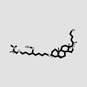 CCCCOC(CCCCO[C@H]1CC[C@@]2(C)C(=CCC3C2CC[C@@]2(C)C3CC[C@@H]2[C@H](C)CCCC(C)C)C1)CCCOC[C@@H](C)N(C)C